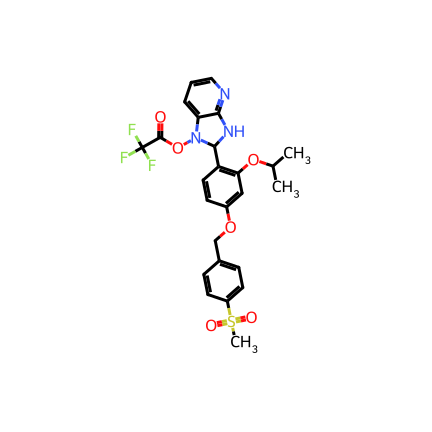 CC(C)Oc1cc(OCc2ccc(S(C)(=O)=O)cc2)ccc1C1Nc2ncccc2N1OC(=O)C(F)(F)F